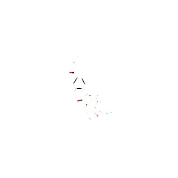 CCOC(=O)c1ccc(N2CSC(S[S+]([O-])P(=O)(OCC)OCC)C2=O)cc1